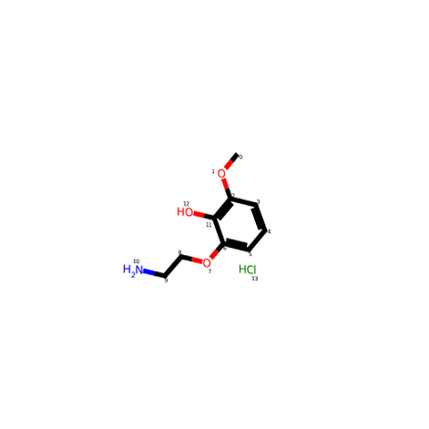 COc1cccc(OCCN)c1O.Cl